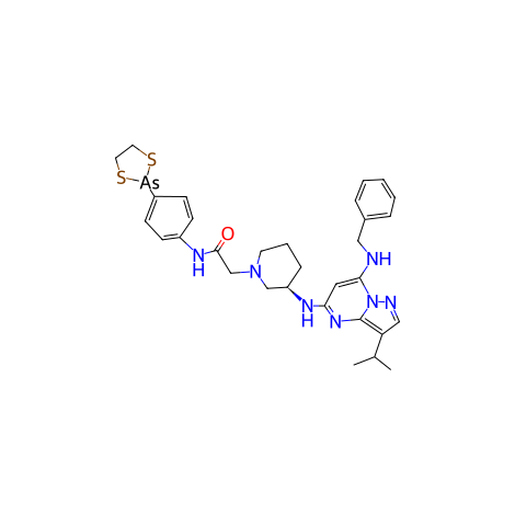 CC(C)c1cnn2c(NCc3ccccc3)cc(N[C@@H]3CCCN(CC(=O)Nc4ccc([As]5SCCS5)cc4)C3)nc12